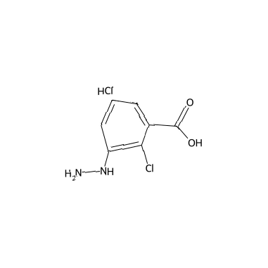 Cl.NNc1cccc(C(=O)O)c1Cl